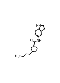 CCCCC1CCN(C(=O)Nc2ccc3[nH]ccc3c2)C1